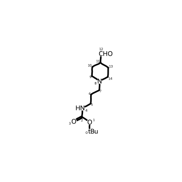 CC(C)(C)OC(=O)NCCCN1CCC(C=O)CC1